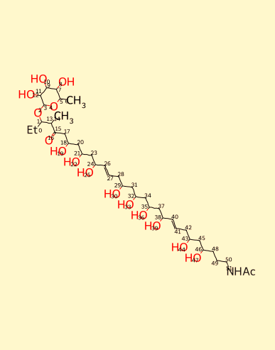 CCC(OC1OC(C)C(O)C(O)C1O)C(C)C(=O)CC(O)CC(O)CC(O)/C=C/CC(O)CC(O)CC(O)CC(O)/C=C/CC(O)CC(O)CCCNC(C)=O